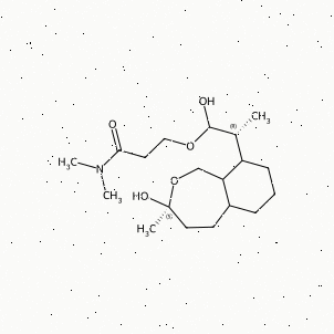 C[C@@H](C(O)OCCC(=O)N(C)C)C1CCCC2CC[C@@](C)(O)OCC21